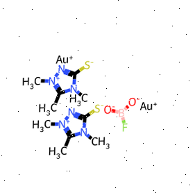 Cc1n(C)c([S-])n[n+]1C.Cc1n(C)c([S-])n[n+]1C.[Au+].[Au+].[O-]B([O-])F